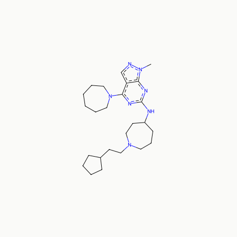 Cn1ncc2c(N3CCCCCC3)nc(NC3CCCN(CCC4CCCC4)CC3)nc21